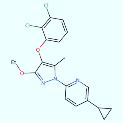 CCOc1nn(-c2ccc(C3CC3)cn2)c(C)c1Oc1cccc(Cl)c1Cl